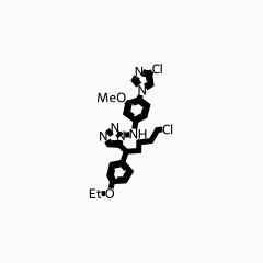 CCOc1ccc(C(CCCCCl)c2cnnn2Nc2ccc(-n3cnc(Cl)c3)c(OC)c2)cc1